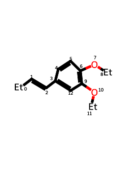 CCC=Cc1ccc(OCC)c(OCC)c1